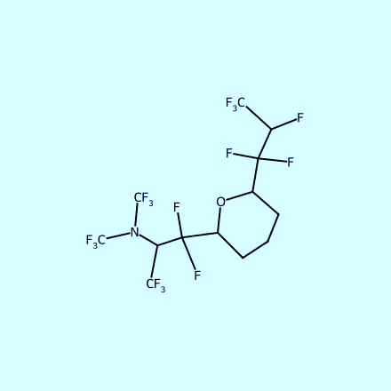 FC(C(F)(F)F)C(F)(F)C1CCCC(C(F)(F)C(N(C(F)(F)F)C(F)(F)F)C(F)(F)F)O1